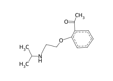 CC(=O)c1ccccc1OCCNC(C)C